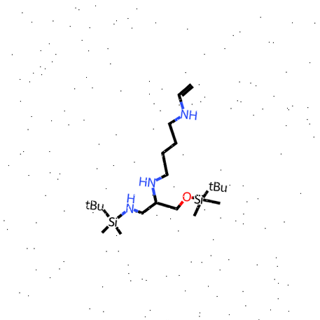 C=CNCCCCNC(CN[Si](C)(C)C(C)(C)C)CO[Si](C)(C)C(C)(C)C